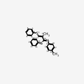 CC(=C\Sc1ccccc1)/C(=N/c1ccc(C)cc1)Sc1ccccc1